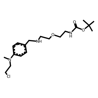 CN(CCCl)c1ccc(CNCCOCCNC(=O)OC(C)(C)C)cc1